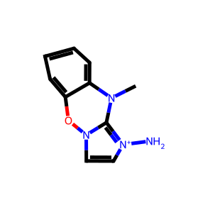 CN1c2ccccc2On2cc[n+](N)c21